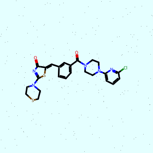 O=C1N=C(N2CCSCC2)SC1=Cc1cccc(C(=O)N2CCN(c3cccc(Cl)n3)CC2)c1